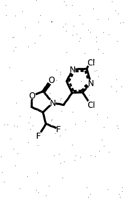 O=C1OCC(C(F)F)N1Cc1cnc(Cl)nc1Cl